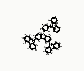 c1ccc2c(c1)c1ccccc1n2-c1cncc(-n2c3ccc(-n4c5ccccc5c5ccccc54)cc3c3cc(-n4c5ccccc5c5ccccc54)ccc32)c1